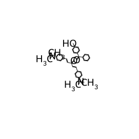 CN(C)c1ccc(C=CC(=O)C=Cc2ccc(N(C)C)cc2)cc1.O=C(c1ccccc1)c1ccc(O)cc1